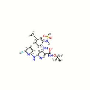 [2H]C([2H])([2H])ONC(=O)c1cnc(Nc2cccc(F)n2)cc1Nc1ccc(C2CC2)cc1N(C)S(C)(=O)=O